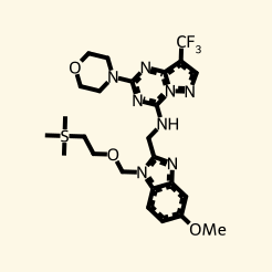 COc1ccc2c(c1)nc(CNc1nc(N3CCOCC3)nc3c(C(F)(F)F)cnn13)n2COCCS(C)(C)C